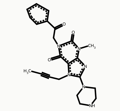 CC#CCn1c(N2CCNCC2)nc2c1c(=O)n(CC(=O)c1ccccc1)c(=O)n2C